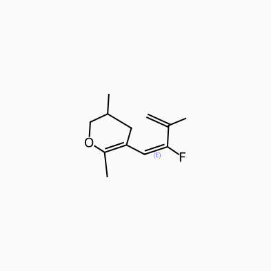 C=C(C)/C(F)=C\C1=C(C)OCC(C)C1